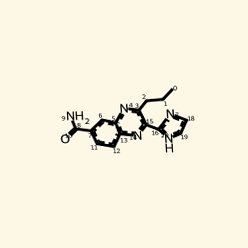 CCCc1nc2cc(C(N)=O)ccc2nc1-c1ncc[nH]1